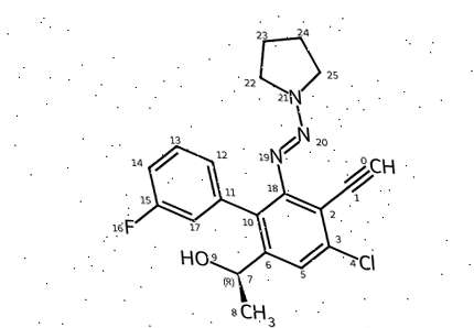 C#Cc1c(Cl)cc([C@@H](C)O)c(-c2cccc(F)c2)c1N=NN1CCCC1